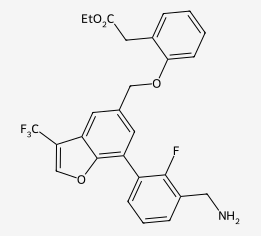 CCOC(=O)Cc1ccccc1OCc1cc(-c2cccc(CN)c2F)c2occ(C(F)(F)F)c2c1